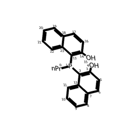 CCCP(c1c(O)ccc2ccccc12)c1c(O)ccc2ccccc12